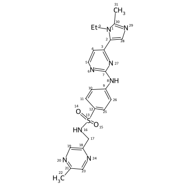 CCn1c(-c2ccnc(Nc3ccc(S(=O)(=O)NCc4cnc(C)cn4)cc3)n2)cnc1C